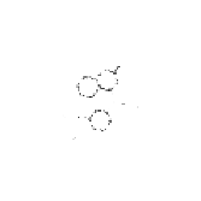 CNc1cc(N(C)c2cc(=O)oc3ccccc23)ccc1OC